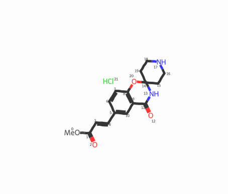 COC(=O)C=Cc1ccc2c(c1)C(=O)NC1(CCNCC1)O2.Cl